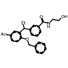 CCC(c1cccc(C(=O)NCCO)c1)c1cc(C(C)=O)ccc1OCc1ccccc1